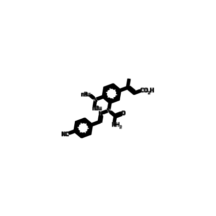 CCCCN(CCCC)c1ccc(/C(C)=C/C(=O)O)cc1N(/N=C/c1ccc(C#N)cc1)C(N)=O